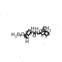 CCOc1n[nH]c2cc(NC(=O)NC[C@H](O)Cc3ccccc3OC)ncc12